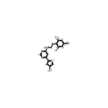 CCc1csc(-c2cc(NCCc3c(F)cc(Br)cc3F)ncn2)c1